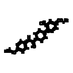 CCCCOc1ccc(NC(=O)N2CCN(c3ncc(C(=O)OCC)cc3Cl)CC2)cc1